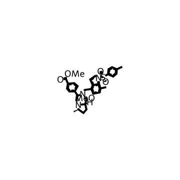 COC(=O)c1ccc(C2CN3[C@@H](CC[C@H]3C)CN2Cc2c(OC)cc(C)c3c2ccn3S(=O)(=O)c2ccc(C)cc2)cc1